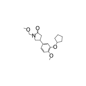 COCN1CC(c2ccc(OC)c(OC3CCCC3)c2)CC1=O